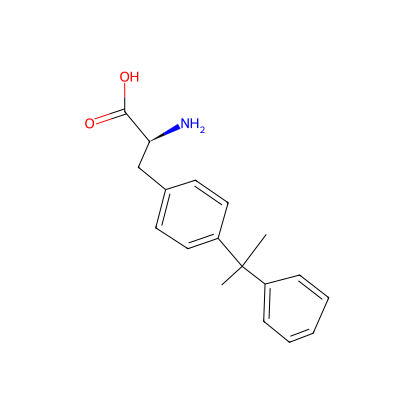 CC(C)(c1ccccc1)c1ccc(C[C@H](N)C(=O)O)cc1